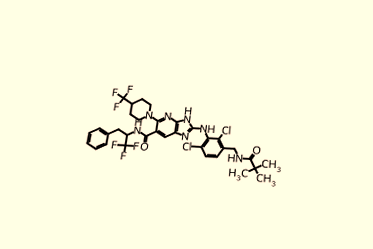 CC(C)(C)C(=O)NCc1ccc(Cl)c(Nc2nc3cc(C(=O)NC(Cc4ccccc4)C(F)(F)F)c(N4CCC(C(F)(F)F)CC4)nc3[nH]2)c1Cl